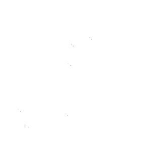 NC(Cc1ccc(Oc2ccnc3[nH]cc(-c4cnoc4)c23)cc1)C(=O)N1CCN(Cc2ccccc2)CC1